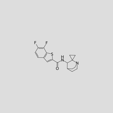 O=C(NC1C2CCN(CC2)C12CC2)c1cc2ccc(F)c(F)c2s1